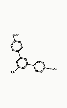 COc1ccc(-c2cc(N)cc(-c3ccc(OC)cc3)c2)cc1